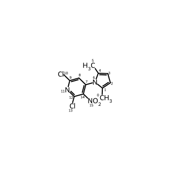 Cc1ccc(C)n1-c1cc(Cl)nc(Cl)c1[N+](=O)[O-]